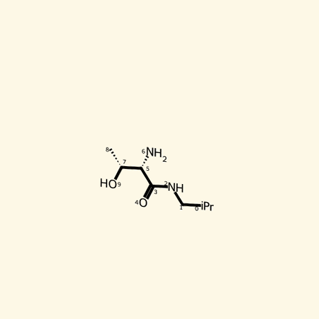 CC(C)CNC(=O)[C@@H](N)[C@@H](C)O